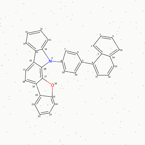 c1ccc2c(-c3ccc(-n4c5ccccc5c5ccc6c7ccccc7oc6c54)cc3)cccc2c1